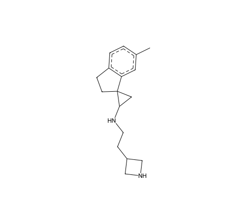 Cc1ccc2c(c1)C1(CC2)CC1NCCC1CNC1